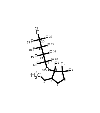 [CH2]CC1C[CH]C(F)(F)C1(F)OC(F)(F)C(F)(F)C(F)(F)C(F)(F)F